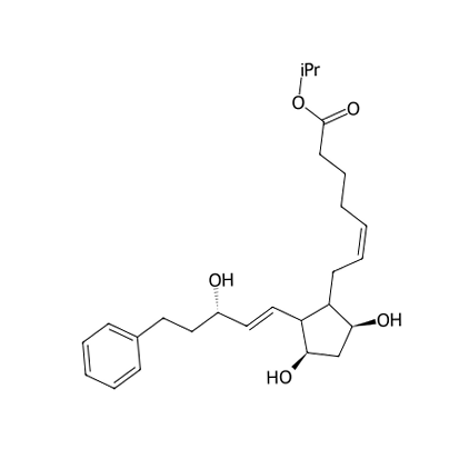 CC(C)OC(=O)CCC/C=C\CC1C(/C=C/[C@@H](O)CCc2ccccc2)[C@H](O)C[C@@H]1O